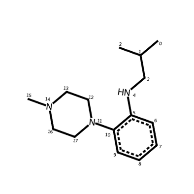 CC(C)CNc1ccccc1N1CCN(C)CC1